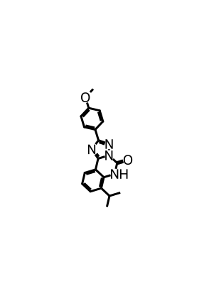 COc1ccc(-c2nc3c4cccc(C(C)C)c4[nH]c(=O)n3n2)cc1